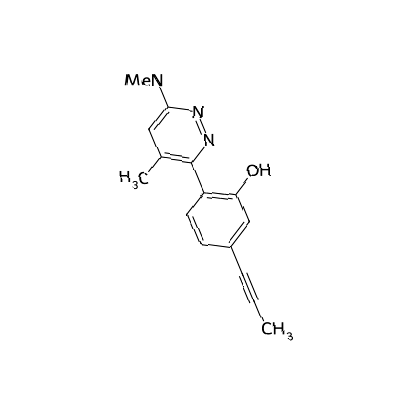 CC#Cc1ccc(-c2nnc(NC)cc2C)c(O)c1